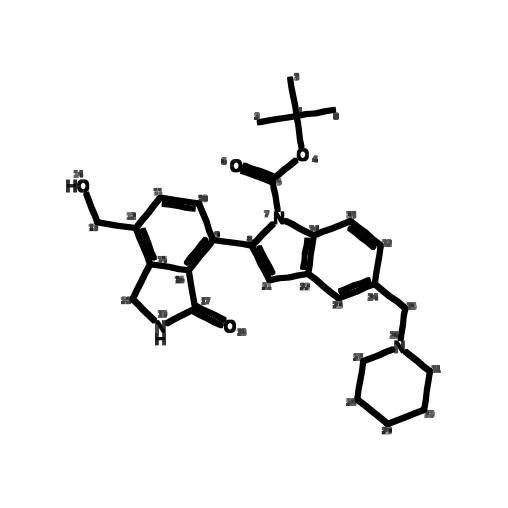 CC(C)(C)OC(=O)n1c(-c2ccc(CO)c3c2C(=O)NC3)cc2cc(CN3CCCCC3)ccc21